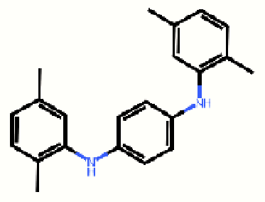 Cc1ccc(C)c(Nc2ccc(Nc3cc(C)ccc3C)cc2)c1